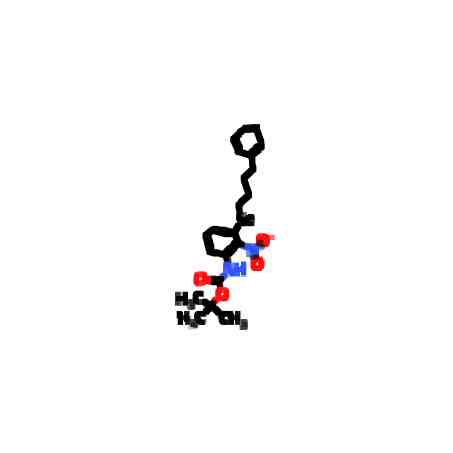 CC(C)(C)OC(=O)Nc1cccc([Se]CCCCc2ccccc2)c1[N+](=O)[O-]